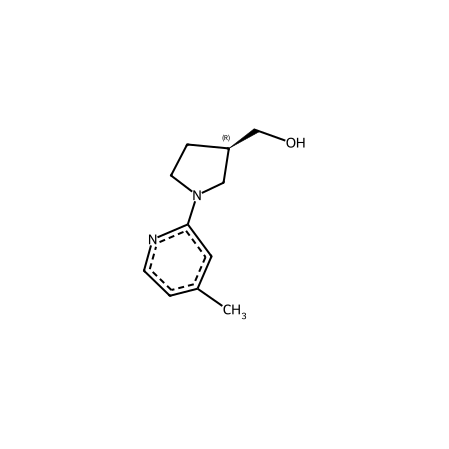 Cc1ccnc(N2CC[C@@H](CO)C2)c1